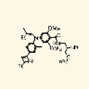 CCCOCC(CCC)CNC(=O)c1c(OC)cc(N(/C=C(/C)CC)c2ccc(C3=CC(CC)N3)cc2C)cc1OC